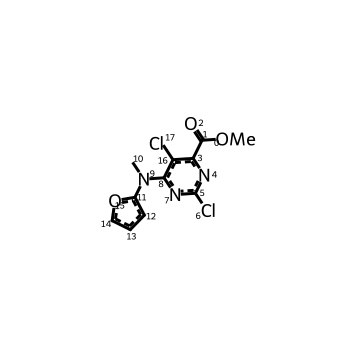 COC(=O)c1nc(Cl)nc(N(C)c2ccco2)c1Cl